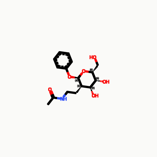 CC(=O)NCC[C@@H]1[C@@H](Oc2ccccc2)O[C@H](CO)[C@H](O)[C@@H]1O